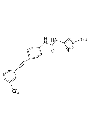 CC(C)(C)c1cc(NC(=O)Nc2ccc(C#Cc3cccc(C(F)(F)F)c3)cc2)no1